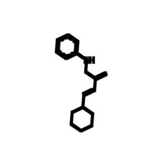 C=C(C=CC1CCCCC1)CNc1ccccc1